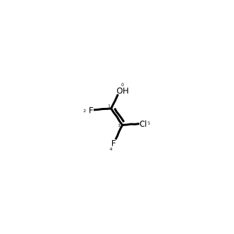 OC(F)=C(F)Cl